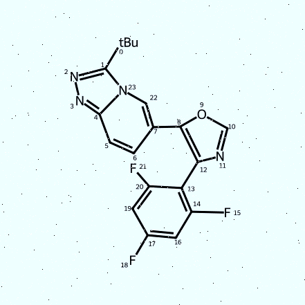 CC(C)(C)c1nnc2ccc(-c3ocnc3-c3c(F)cc(F)cc3F)cn12